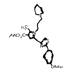 COc1ccc(-c2nc(-c3cc(C(=O)O)c(C)n3CCCN3CCCCC3)cs2)cc1